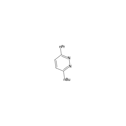 CCCCc1ccc(CCC)nn1